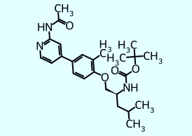 CC(=O)Nc1cc(-c2ccc(OC[C@H](CC(C)C)NC(=O)OC(C)(C)C)c(C)c2)ccn1